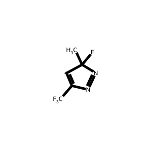 CC1(F)[C]=C(C(F)(F)F)N=N1